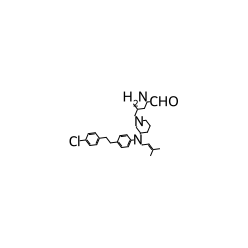 CC(C)=CCN(c1ccc(CCc2ccc(Cl)cc2)cc1)C1CCCN(CC(C)CC(N)C=O)C1